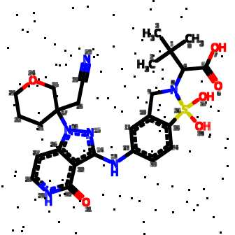 CC(C)(C)C(C(=O)O)N1Cc2cc(Nc3nn(C4(CC#N)CCCOC4)c4cc[nH]c(=O)c34)ccc2S1(O)O